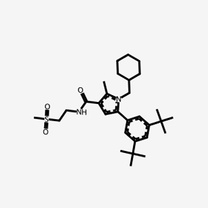 Cc1c(C(=O)NCCS(C)(=O)=O)cc(-c2cc(C(C)(C)C)cc(C(C)(C)C)c2)n1CC1CCCCC1